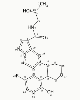 C[C@@H](O)CNC(=O)c1cnn2ccc(N3CCOCC3c3cc(F)cnc3O)nc12